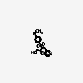 COc1ccc(S(=O)(=O)N(Cc2cccnc2)C(C)CO)cc1